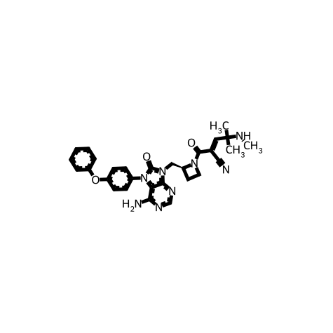 CNC(C)(C)C=C(C#N)C(=O)N1CC[C@H]1Cn1c(=O)n(-c2ccc(Oc3ccccc3)cc2)c2c(N)ncnc21